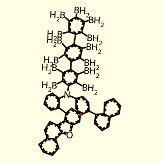 Bc1c(B)c(B)c(-c2c(B)c(B)c(-c3c(B)c(B)c(N(c4ccc(-c5cccc6ccccc56)cc4)c4ccccc4-c4cccc5oc6c7ccccc7ccc6c45)c(B)c3B)c(B)c2B)c(B)c1B